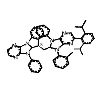 Cc1ccccc1N1c2nc(-c3c(C(C)C)cccc3C(C)C)cnc2N(c2ccccc2)C1C[C@@H]1c2ccccc2N2c3nccnc3N(c3ccccc3)C12